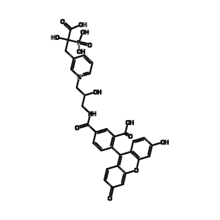 O=C(NCC(O)C[n+]1cccc(CC(O)(C(=O)O)P(=O)(O)O)c1)c1ccc(-c2c3ccc(=O)cc-3oc3cc(O)ccc23)c(C(=O)O)c1